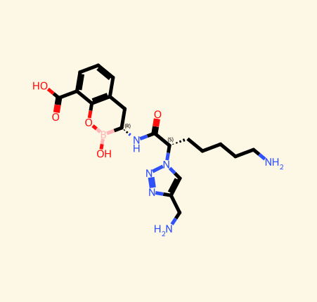 NCCCCC[C@@H](C(=O)N[C@H]1Cc2cccc(C(=O)O)c2OB1O)n1cc(CN)nn1